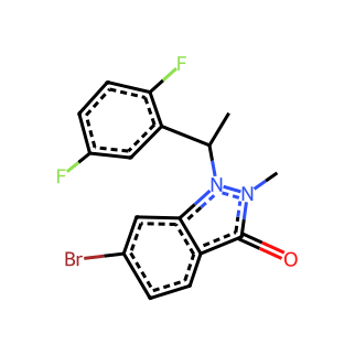 CC(c1cc(F)ccc1F)n1c2cc(Br)ccc2c(=O)n1C